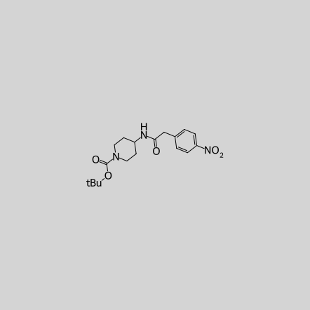 CC(C)(C)OC(=O)N1CCC(NC(=O)Cc2ccc([N+](=O)[O-])cc2)CC1